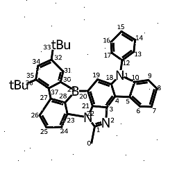 Cc1nc2c3c4ccccc4n(-c4ccccc4)c3cc3c2n1-c1cccc2c1B3c1cc(C(C)(C)C)cc(C(C)(C)C)c1-2